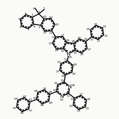 CC1(C)c2ccccc2-c2cc(-c3ccc4c(c3)c3cc(-c5ccccc5)ccc3n4-c3ccc(-c4cc(-c5ccc(-c6ccccc6)cc5)nc(-c5ccccc5)n4)cc3)ccc21